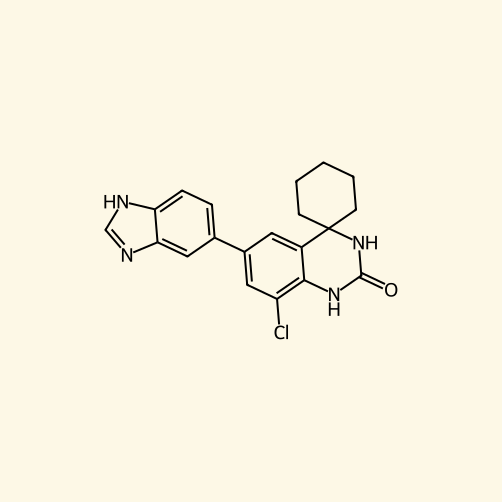 O=C1Nc2c(Cl)cc(-c3ccc4[nH]cnc4c3)cc2C2(CCCCC2)N1